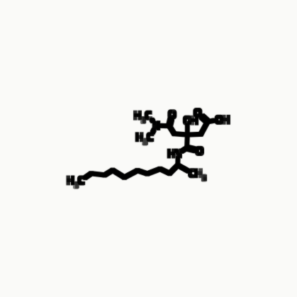 CCCCCCCCCC(C)NC(=O)C(O)(CC(=O)O)CC(=O)N(C)C